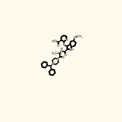 COc1ccc2[nH]c(C(=O)N[C@H](C)C(=O)N3CCN(C(c4ccccc4)c4ccccc4)CC3)c(Sc3ncccc3C(=O)O)c2c1